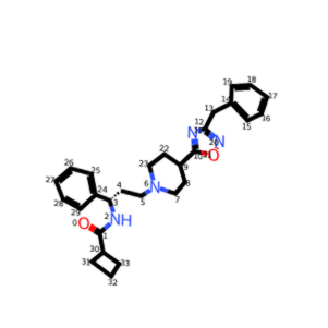 O=C(N[C@@H](CCN1CCC(c2nc(Cc3ccccc3)no2)CC1)c1ccccc1)C1CCC1